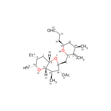 C=C1C(C[C@@H]2O[C@H]3C[C@@H](CC)[C@@H](CCC)O[C@H]3[C@H](C)[C@H]2OC(C)=O)O[C@@H](CCC=O)C[C@H]1C